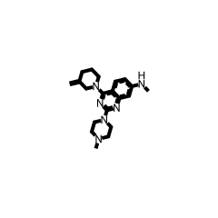 C=C1CCCN(c2nc(N3CCN(C)CC3)nc3cc(NC)ccc23)C1